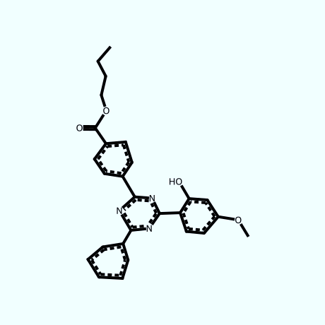 CCCCOC(=O)c1ccc(-c2nc(-c3ccccc3)nc(-c3ccc(OC)cc3O)n2)cc1